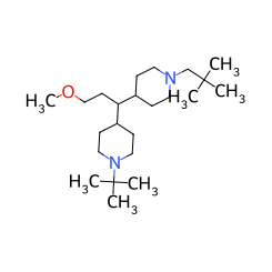 COCCC(C1CCN(CC(C)(C)C)CC1)C1CCN(C(C)(C)C)CC1